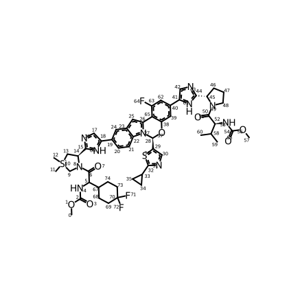 COC(=O)NC(C(=O)N1C[Si](C)(C)C[C@H]1c1ncc(-c2ccc3c(c2)cc2n3[C@H](c3cnc(C4CC4)s3)Oc3cc(-c4cnc([C@@H]5CCCN5C(=O)[C@@H](NC(=O)OC)C(C)C)[nH]4)cc(F)c3-2)[nH]1)C1CCC(F)(F)CC1